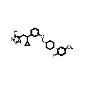 COc1ccc(F)c([C@H]2CC[C@H](COc3cccc(C(Cc4nnn[nH]4)C4CC4)c3)CC2)c1